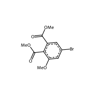 COC(=O)c1cc(Br)cc(OC)c1C(=O)OC